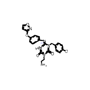 NCCn1c(=O)[nH]/c(=N\c2ccc(Oc3ccon3)cc2)n(Cc2ccc(Cl)cc2)c1=O